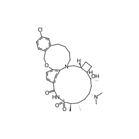 C[C@@H]1[C@@H](C)C[C@@H](N(C)C)C[C@](C)(O)[C@@H]2CC[C@H]2CN2CCCCc3cc(Cl)ccc3COc3ccc(cc32)C(=O)NS1(=O)=O